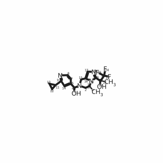 C[C@H]1CN(C(O)c2ccnc(C3CC3)c2)Cc2cnc([C@@](C)(O)C(F)(F)F)n21